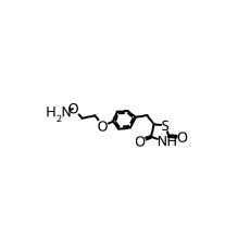 NOCCOc1ccc(CC2SC(=O)NC2=O)cc1